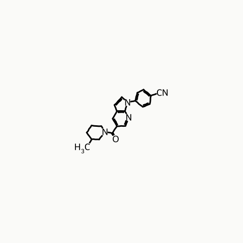 CC1CCCN(C(=O)c2cnc3c(ccn3-c3ccc(C#N)cc3)c2)C1